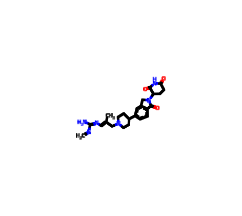 C=N/C(N)=N\C=C(/C)CN1CCC(c2ccc3c(c2)CN(C2CCC(=O)NC2=O)C3=O)CC1